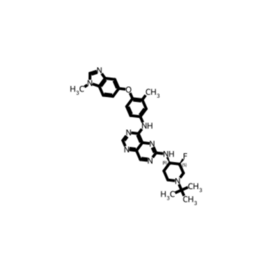 Cc1cc(Nc2ncnc3cnc(N[C@@H]4CCN(C(C)(C)C)C[C@@H]4F)nc23)ccc1Oc1ccc2c(c1)ncn2C